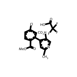 COC(=O)c1ccc(Cl)cc1-c1cc(C)ncc1C(=O)O.O=C(O)C(F)(F)F